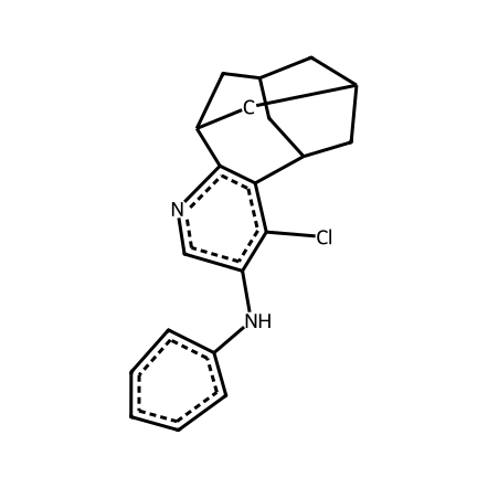 Clc1c(Nc2ccccc2)cnc2c1C1CC3CC(CC2C3)C1